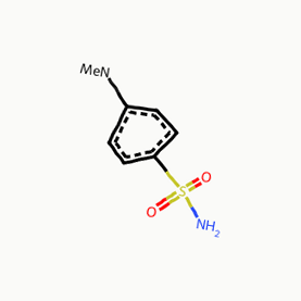 [CH2+][N-]c1ccc(S(N)(=O)=O)cc1